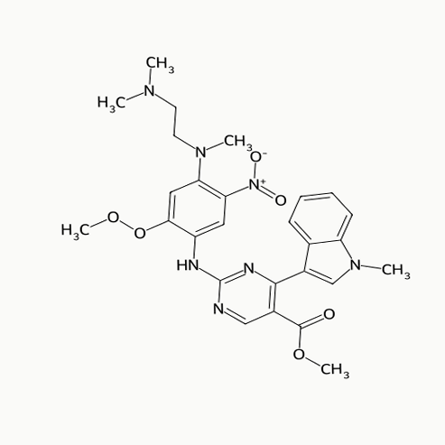 COOc1cc(N(C)CCN(C)C)c([N+](=O)[O-])cc1Nc1ncc(C(=O)OC)c(-c2cn(C)c3ccccc23)n1